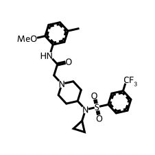 COc1ccc(C)cc1NC(=O)CN1CCC(N(C2CC2)S(=O)(=O)c2cccc(C(F)(F)F)c2)CC1